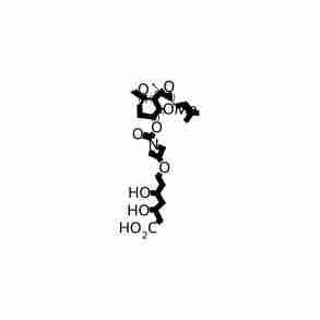 CO[C@@H]1[C@H](OC(=O)N2CC(OCCC(O)CC(O)CC(=O)O)C2)CC[C@]2(CO2)[C@H]1[C@@]1(C)O[C@@H]1CC=C(C)C